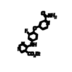 CCOC(=O)c1cncnc1Nc1ccc(Oc2ccnc(C(N)=O)c2)c(F)c1